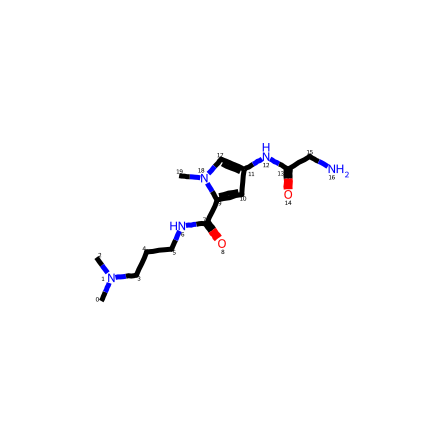 CN(C)CCCNC(=O)c1cc(NC(=O)CN)cn1C